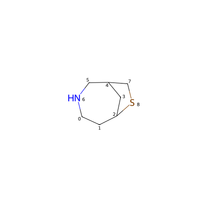 C1CC2CC(CN1)CS2